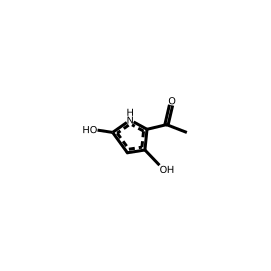 CC(=O)c1[nH]c(O)cc1O